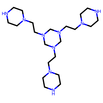 C1CN(CCN2CN(CCN3CCNCC3)CN(CCN3CCNCC3)C2)CCN1